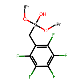 CC(C)O[Si](O)(Cc1c(F)c(F)c(F)c(F)c1F)OC(C)C